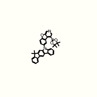 CC1(C)c2ccccc2-c2cc3c4ccccc4n(-c4ccc5oc6cncc(B7OC(C)(C)C(C)(C)O7)c6c5c4)c3cc21